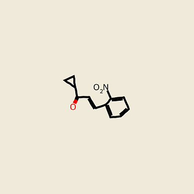 O=C(C=Cc1ccccc1[N+](=O)[O-])C1CC1